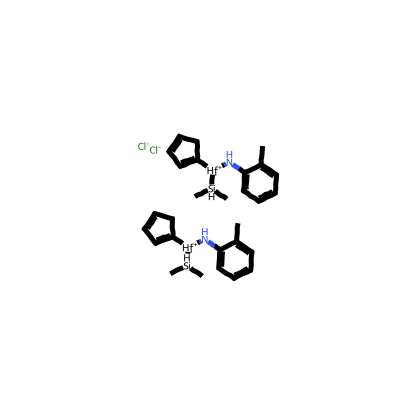 Cc1ccccc1[NH][Hf+]([C]1=CC=CC1)[SiH](C)C.Cc1ccccc1[NH][Hf+]([C]1=CC=CC1)[SiH](C)C.[Cl-].[Cl-]